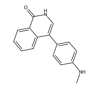 CNc1ccc(-c2c[nH]c(=O)c3ccccc23)cc1